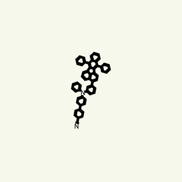 N#CC1C=CC(C2C=CC(N(c3ccccc3)c3cccc(-c4ccc5c6c(cccc46)-c4c-5c(-c5ccccc5)c5ccccc5c4-c4ccccc4)c3)=CC2)=CC1